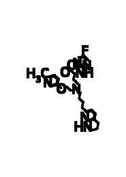 Cc1ccc(OCCN(CCCCc2ccc3c(n2)NCCC3)CCC(Nc2ncc(F)cn2)C(=O)O)cn1